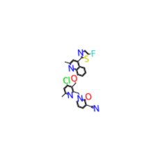 Cc1cc(Cl)c(COc2cccc3c(-c4ncc(F)s4)cc(C)nc23)c(Cn2cccc(C#N)c2=O)n1